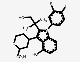 CC(C)(CO)c1c(C2CCOC(C(=O)O)C2)c2c(O)cccc2n1-c1ccc(F)c(F)c1